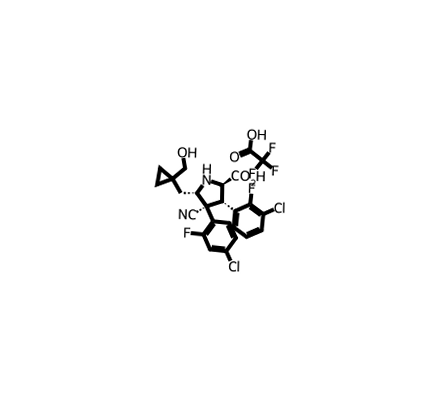 N#C[C@]1(c2ccc(Cl)cc2F)[C@H](CC2(CO)CC2)N[C@@H](C(=O)O)[C@@H]1c1cccc(Cl)c1F.O=C(O)C(F)(F)F